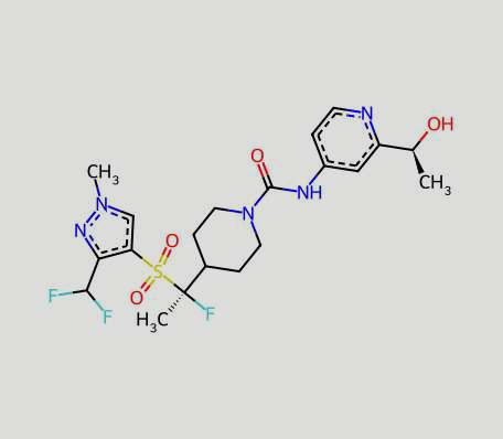 C[C@H](O)c1cc(NC(=O)N2CCC([C@@](C)(F)S(=O)(=O)c3cn(C)nc3C(F)F)CC2)ccn1